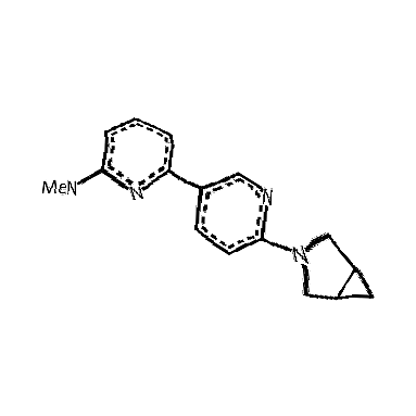 CNc1cccc(-c2ccc(N3CC4CC4C3)nc2)n1